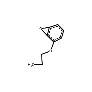 CCCOc1cccc2c1O2